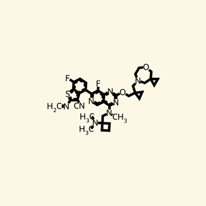 C=Nc1sc2c(F)ccc(-c3ncc4c(N(C)CC5(N(C)C)CCC5)nc(OCC5(CN6CCOCC7(CC7)C6)CC5)nc4c3F)c2c1C#N